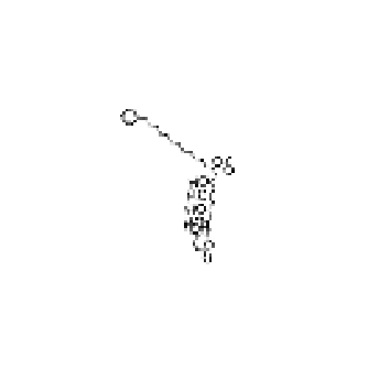 CC(=O)OC(CCCCCCCCCCCCc1ccccc1)CC(O)CC(O)CC(O)CC(O)CC1OC(=O)C=CC1O